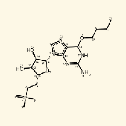 C=P(C)(C)CC[C@H]1O[C@@H](n2cnc3c2N=C(N)NC3OCCCC)[C@H](O)[C@@H]1O